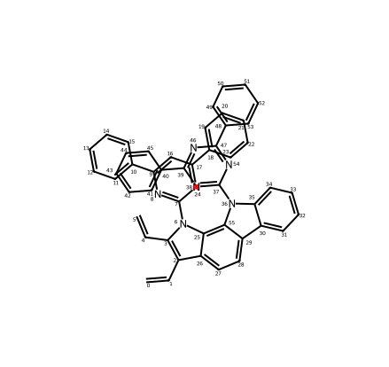 C=Cc1c(C=C)n(-c2nc(-c3ccccc3)cc(-c3ccccc3)n2)c2c1ccc1c3ccccc3n(-c3nc(-c4ccccc4)nc(-c4ccccc4)n3)c12